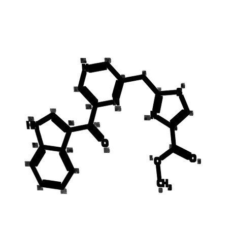 COC(=O)c1csc(Cc2cncc(C(=O)c3c[nH]c4ccccc34)n2)n1